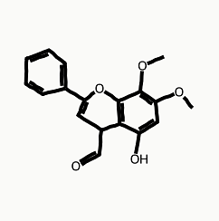 COc1cc(O)c2c(c1OC)OC(c1ccccc1)=CC2C=O